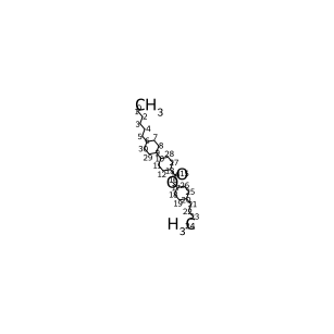 CCCCCCC1CCC(C2CCC(C(=O)OC3CCC(CCCC)CC3)CC2)CC1